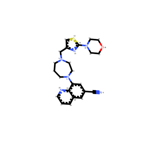 N#Cc1cc(N2CCCN(Cc3csc(N4CCOCC4)n3)CC2)c2ncccc2c1